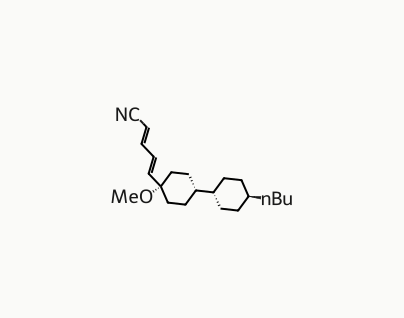 CCCC[C@H]1CC[C@H]([C@H]2CC[C@@](C=CC=CC#N)(OC)CC2)CC1